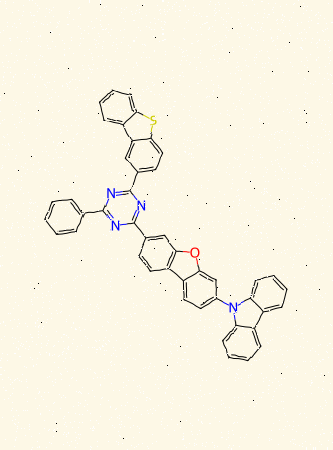 c1ccc(-c2nc(-c3ccc4c(c3)oc3cc(-n5c6ccccc6c6ccccc65)ccc34)nc(-c3ccc4sc5ccccc5c4c3)n2)cc1